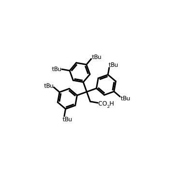 CC(C)(C)c1cc(C(C)(C)C)cc(C(CC(=O)O)(c2cc(C(C)(C)C)cc(C(C)(C)C)c2)c2cc(C(C)(C)C)cc(C(C)(C)C)c2)c1